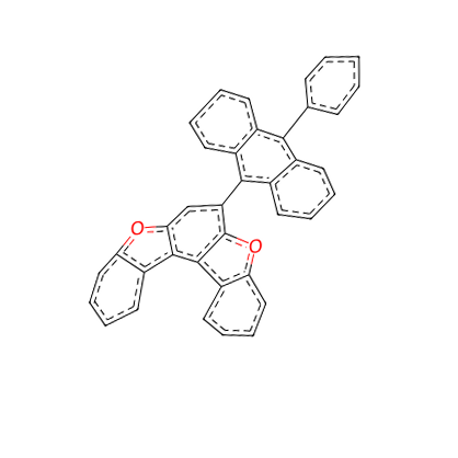 c1ccc(-c2c3ccccc3c(-c3cc4oc5ccccc5c4c4c3oc3ccccc34)c3ccccc23)cc1